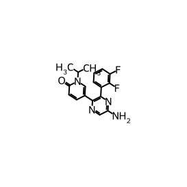 CC(C)n1cc(-c2ncc(N)nc2-c2cccc(F)c2F)ccc1=O